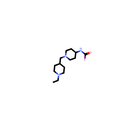 CCN1CCC(CN2CCC(NC(=O)I)CC2)CC1